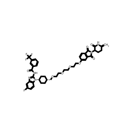 C=C1CCC(N2C(=O)c3ccc(OCCOCCOCCOC[C@H]4CC[C@@H](n5c(NC(=O)c6cccc(C(F)(F)F)c6)nc6cc(F)ccc65)CC4)cc3C2=O)C(=O)N1